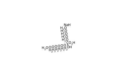 O.O.O.O.O.O.O.O.O.O.O.O.O=C(O)O.[NaH]